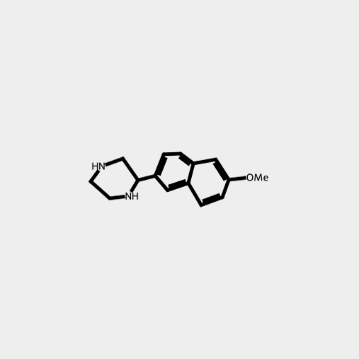 COc1ccc2cc(C3CNCCN3)ccc2c1